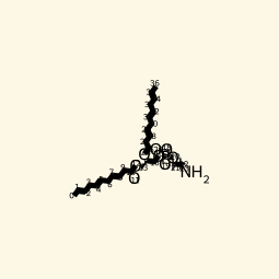 CC=CCC=CCC=CCC(=O)OC[C@H](COP(=O)(O)OCCN)OC(=O)CC=CCC=CCC=CC